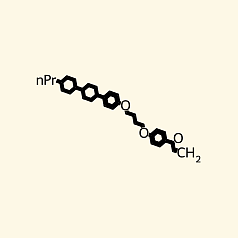 C=CC(=O)c1ccc(OCCCCOc2ccc(C3CCC(C4CCC(CCC)CC4)CC3)cc2)cc1